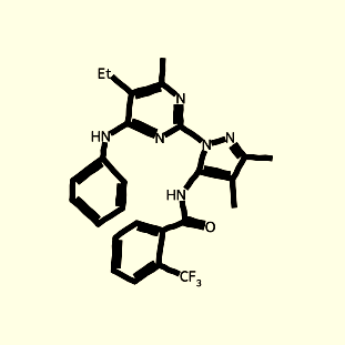 CCc1c(C)nc(-n2nc(C)c(C)c2NC(=O)c2ccccc2C(F)(F)F)nc1Nc1ccccc1